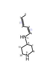 C/C=C\C=C/NC1CCNCC1